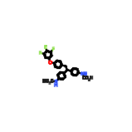 O=C(O)Nc1ccc(C(Cc2ccc(Oc3cc(F)c(F)c(F)c3)cc2)c2ccc(NC(=O)O)cc2)cc1